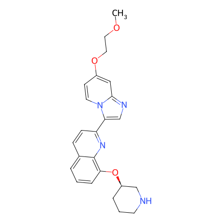 COCCOc1ccn2c(-c3ccc4cccc(O[C@@H]5CCCNC5)c4n3)cnc2c1